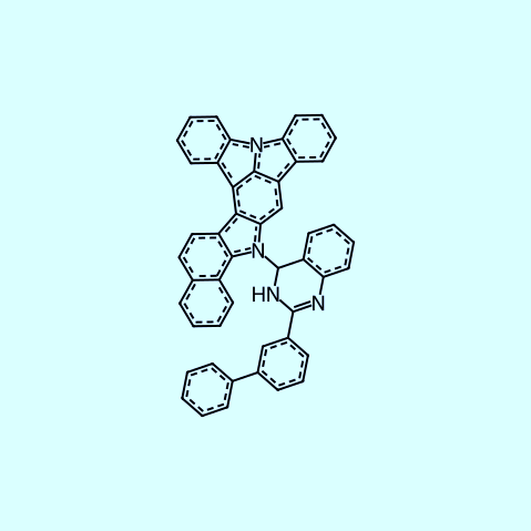 c1ccc(-c2cccc(C3=Nc4ccccc4C(n4c5cc6c7ccccc7n7c8ccccc8c(c5c5ccc8ccccc8c54)c67)N3)c2)cc1